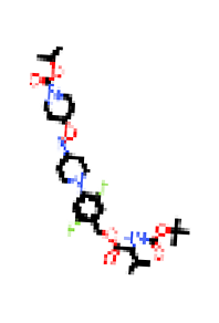 CC(C)OC(=O)N1CCC(ON=C2CCN(c3cc(F)c(COC(=O)[C@@H](NC(=O)OC(C)(C)C)C(C)C)cc3F)CC2)CC1